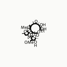 CC[C@H]1OC(=O)[C@H](C)[C@@H](O[C@H]2CC(C)(OC)C(O)[C@@H](C)O2)[C@H](C)[C@@H](OC2O[C@H](C)CC(N(C)C)C2O)[C@](C)(OC)C[C@@H](C)C(=O)[C@H](C)[C@@H](O)[C@]1(C)O